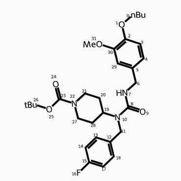 CCCCOc1ccc(CNC(=O)N(Cc2ccc(F)cc2)C2CCN(C(=O)OC(C)(C)C)CC2)cc1OC